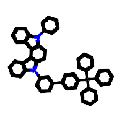 c1ccc(-n2c3ccccc3c3c4c5ccccc5n(-c5cccc(-c6ccc([Si](c7ccccc7)(c7ccccc7)c7ccccc7)cc6)c5)c4ccc32)cc1